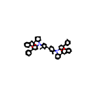 Cc1cc(-c2ccc(N(c3ccc(-c4ccccc4)cc3)c3ccccc3-c3ccc4ccccc4c3)c(C)c2)ccc1N(c1ccc(-c2ccccc2)cc1)c1ccccc1-c1ccc2ccccc2c1